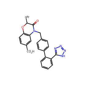 CCCC1Oc2ccc(C(=O)O)cc2N(Cc2ccc(-c3ccccc3-c3nnn[nH]3)cc2)C1=O